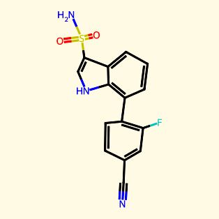 N#Cc1ccc(-c2cccc3c(S(N)(=O)=O)c[nH]c23)c(F)c1